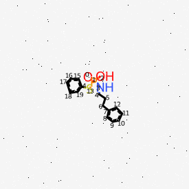 O=P(O)(NCCCc1ccccc1)Sc1ccccc1